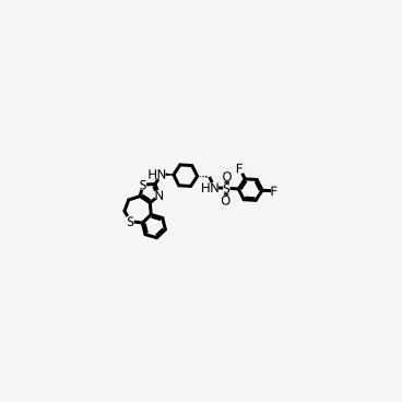 O=S(=O)(NC[C@H]1CC[C@H](Nc2nc3c(s2)CCSc2ccccc2-3)CC1)c1ccc(F)cc1F